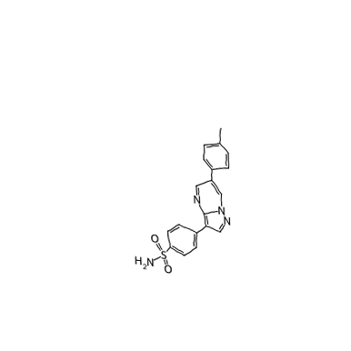 Cc1ccc(-c2cnc3c(-c4ccc(S(N)(=O)=O)cc4)cnn3c2)cc1